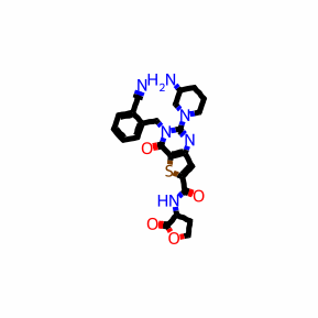 N#Cc1ccccc1Cn1c(N2CCCC(N)C2)nc2cc(C(=O)NC3CCOC3=O)sc2c1=O